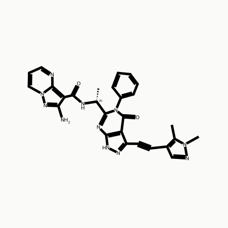 Cc1c(C#Cc2n[nH]c3nc([C@@H](C)NC(=O)c4c(N)nn5cccnc45)n(-c4ccccc4)c(=O)c23)cnn1C